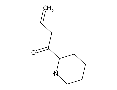 C=CCC(=O)C1CCCC[N]1